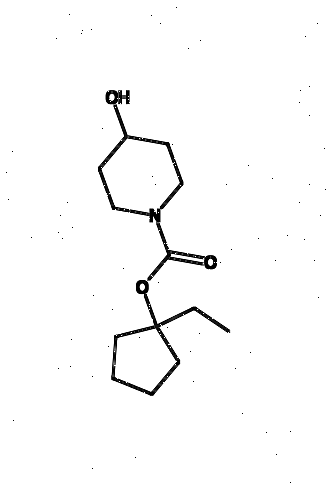 CCC1(OC(=O)N2CCC(O)CC2)CCCC1